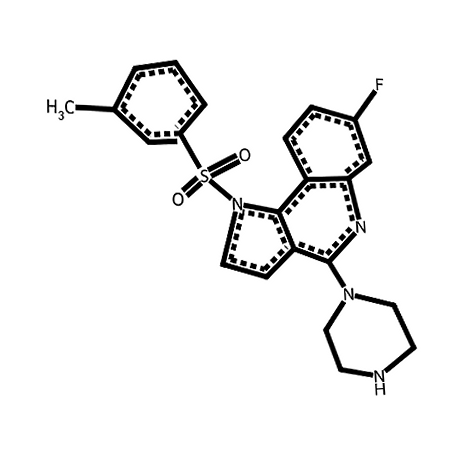 Cc1cccc(S(=O)(=O)n2ccc3c(N4CCNCC4)nc4cc(F)ccc4c32)c1